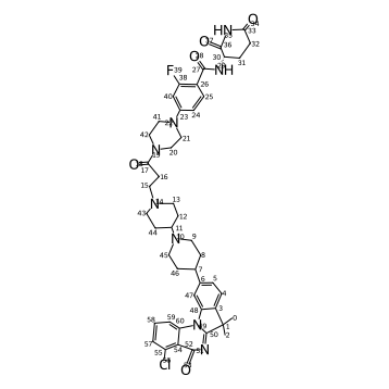 CC1(C)c2ccc(C3CCN(C4CCN(CCC(=O)N5CCN(c6ccc(C(=O)N[C@H]7CCC(=O)NC7=O)c(F)c6)CC5)CC4)CC3)cc2-n2c1nc(=O)c1c(Cl)cccc12